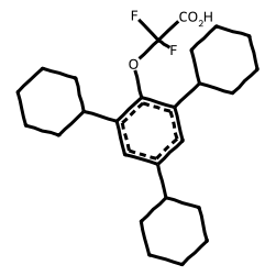 O=C(O)C(F)(F)Oc1c(C2CCCCC2)cc(C2CCCCC2)cc1C1CCCCC1